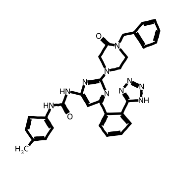 Cc1ccc(NC(=O)Nc2cc(-c3ccccc3-c3nnn[nH]3)nc(N3CCN(Cc4ccccc4)C(=O)C3)n2)cc1